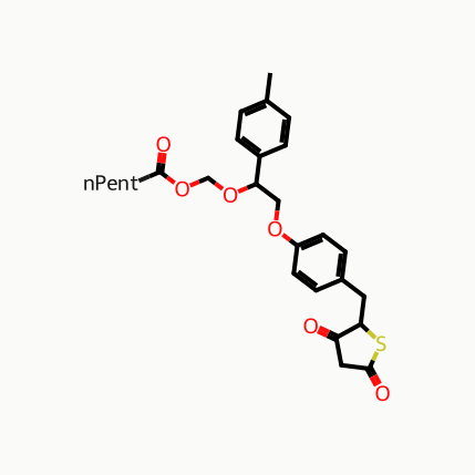 CCCCCC(=O)OCOC(COc1ccc(CC2SC(=O)CC2=O)cc1)c1ccc(C)cc1